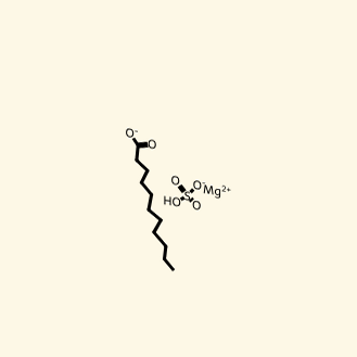 CCCCCCCCCCC(=O)[O-].O=S(=O)([O-])O.[Mg+2]